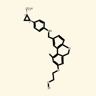 CCOCCOc1cc(C)c2c(c1)COc1ccc(CNc3ccc([C@H]4C[C@@H]4C(=O)O)cc3)cc1-2